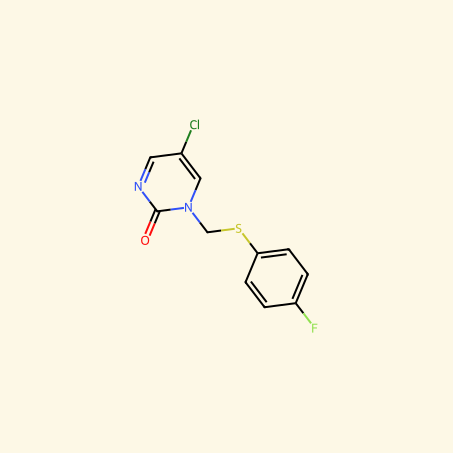 O=c1ncc(Cl)cn1CSc1ccc(F)cc1